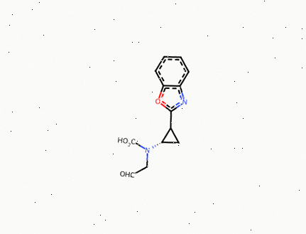 O=CCN(C(=O)O)[C@H]1CC1c1nc2ccccc2o1